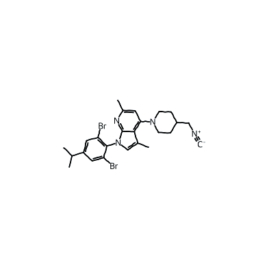 [C-]#[N+]CC1CCN(c2cc(C)nc3c2c(C)cn3-c2c(Br)cc(C(C)C)cc2Br)CC1